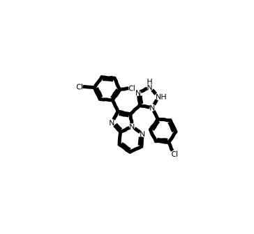 Clc1ccc(N2NNN=C2c2c(-c3cc(Cl)ccc3Cl)nc3cccnn23)cc1